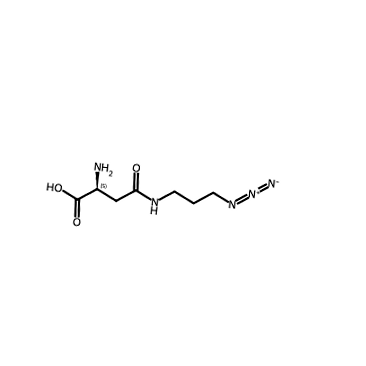 [N-]=[N+]=NCCCNC(=O)C[C@H](N)C(=O)O